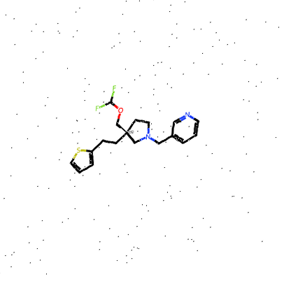 FC(F)OC[C@@]1(CCc2cccs2)CCN(Cc2cccnc2)C1